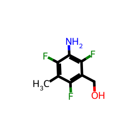 Cc1c(F)c(N)c(F)c(CO)c1F